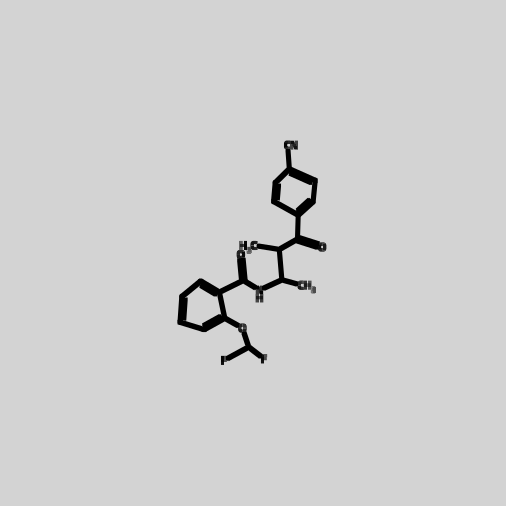 CC(NC(=O)c1ccccc1OC(F)F)C(C)C(=O)c1ccc(C#N)cc1